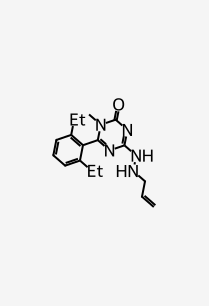 C=CCNNc1nc(-c2c(CC)cccc2CC)n(C)c(=O)n1